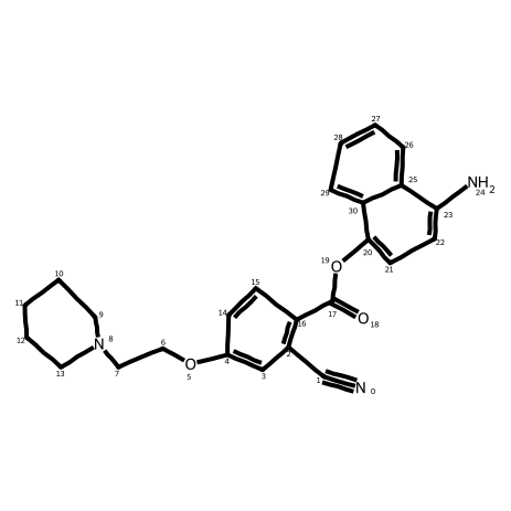 N#Cc1cc(OCCN2CCCCC2)ccc1C(=O)Oc1ccc(N)c2ccccc12